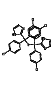 Clc1ccc(C(SC(c2ccc(Cl)cc2)(c2ccc(Cl)cc2)c2ncc[nH]2)(c2ccc(Cl)cc2)c2ncc[nH]2)cc1